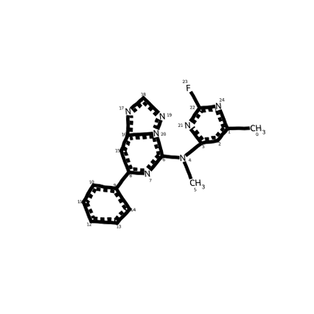 Cc1cc(N(C)c2nc(-c3ccccc3)cc3ncnn23)nc(F)n1